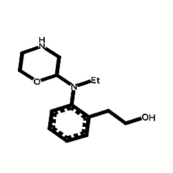 CCN(c1ccccc1CCO)C1CNCCO1